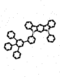 c1ccc(-c2cc(-c3cccc(-n4c5ccccc5c5cc6c7ccccc7n(-c7ccccc7)c6cc54)c3)cc(-c3ccccc3)c2-c2ccccc2)cc1